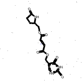 O=C1CCC(COC(=O)/C=C/C(=O)OCc2c[nH]c(=O)[nH]c2=O)N1